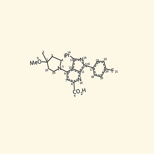 COC1(C)CCN(c2cc(C(=O)O)nc3c2c(C(C)C)nn3-c2ccc(F)cc2)CC1